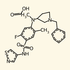 Cc1cc(S(=O)(=O)Nc2cnsc2)c(F)cc1N(C)C1CCN(Cc2ccccc2)C1.O=CO